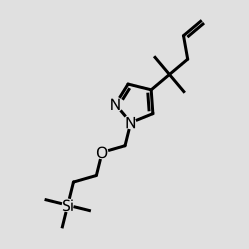 C=CCC(C)(C)c1cnn(COCC[Si](C)(C)C)c1